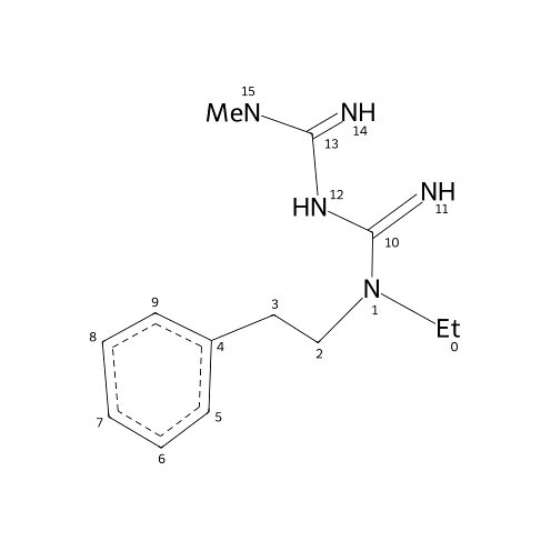 CCN(CCc1ccccc1)C(=N)NC(=N)NC